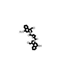 CC(=O)Oc1cc2c(c3ccccc13)C(CCl)CN2C(=O)c1ccc(C(=O)N2CC(CCl)c3c2cc(O)c2ccccc32)s1